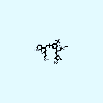 CCOC(=O)CC(Cc1cc(O)n(C)n1)c1cc(C(C)(C)C)cc(C(C)(C)Cc2cc(CCO)nc3c2CCCN3)c1